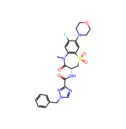 CN1C(=O)[C@@H](NC(=O)c2ncn(Cc3ccccc3)n2)CS(=O)(=O)c2cc(N3CCOCC3)c(F)cc21